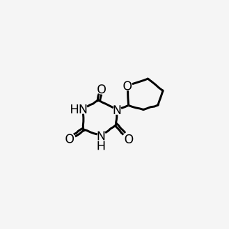 O=c1[nH]c(=O)n(C2CCCCO2)c(=O)[nH]1